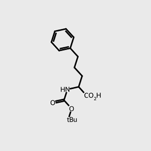 CC(C)(C)OC(=O)NC(CCCc1ccccc1)C(=O)O